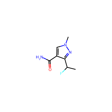 CC(F)c1nn(C)cc1C(N)=O